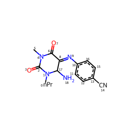 CCCN1C(=O)N(C)C(=O)/C(=N/c2ccc(C#N)cc2)C1N